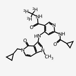 [2H]C([2H])([2H])NC(=O)c1cnc(NC(=O)C2CC2)cc1Nc1cn(C)c2ccn(CC3CC3)c(=O)c12